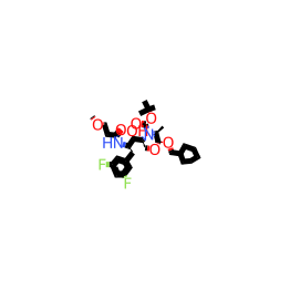 COCCC(=O)N[C@@H](Cc1cc(F)cc(F)c1)[C@H](O)[C@H]1CO[C@@H](OCC2CCCCC2)[C@H](C)N1C(=O)OC(C)(C)C